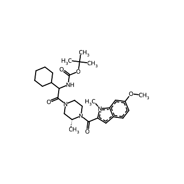 COc1ccc2cc(C(=O)N3CCN(C(=O)C(NC(=O)OC(C)(C)C)C4CCCCC4)C[C@H]3C)n(C)c2c1